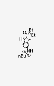 CCCCS(=O)(=O)Nc1ccc2[nH]c(C(=O)N(CC)CC)c(C)c2c1